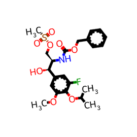 COc1cc([C@@H](O)[C@@H](COS(C)(=O)=O)NC(=O)OCc2ccccc2)cc(F)c1OC(C)C